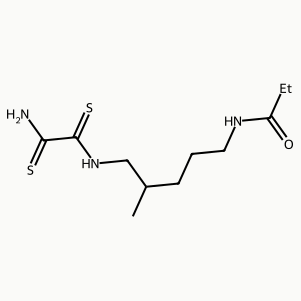 CCC(=O)NCCCC(C)CNC(=S)C(N)=S